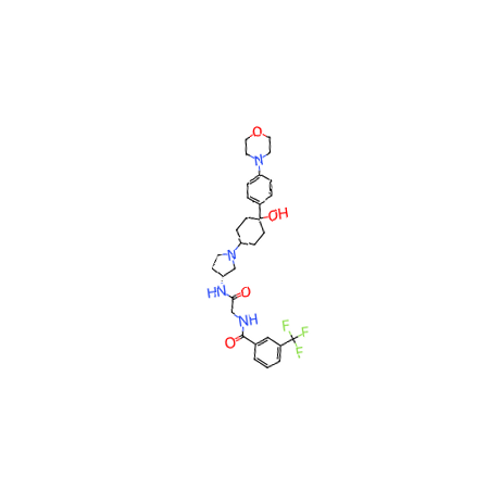 O=C(CNC(=O)c1cccc(C(F)(F)F)c1)N[C@@H]1CCN(C2CCC(O)(c3ccc(N4CCOCC4)cc3)CC2)C1